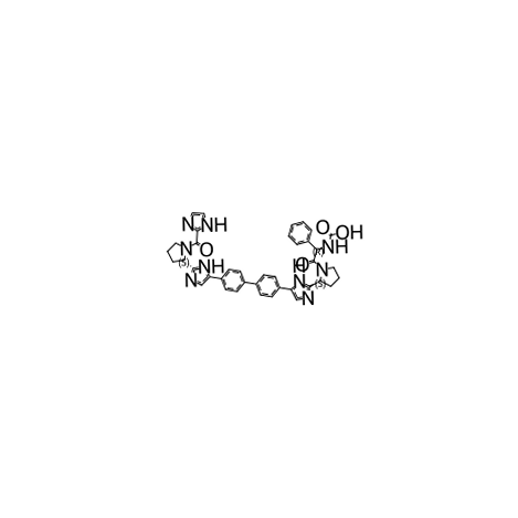 O=C(O)N[C@@H](C(=O)N1CCC[C@H]1c1ncc(-c2ccc(-c3ccc(-c4cnc([C@@H]5CCCN5C(=O)c5ncc[nH]5)[nH]4)cc3)cc2)[nH]1)c1ccccc1